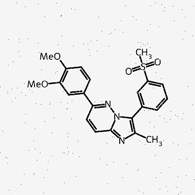 COc1ccc(-c2ccc3nc(C)c(-c4cccc(S(C)(=O)=O)c4)n3n2)cc1OC